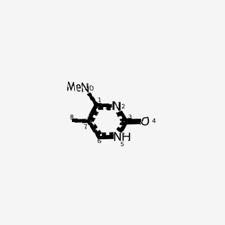 CNc1nc(=O)[nH]cc1C